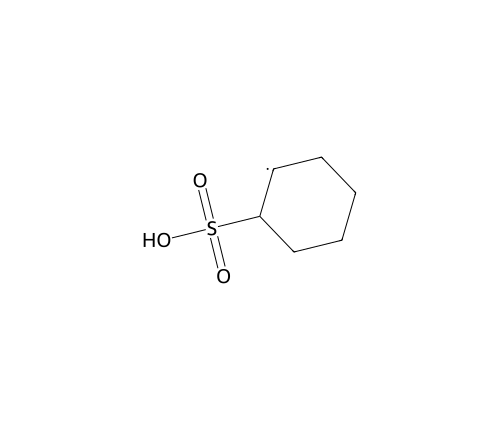 O=S(=O)(O)C1[CH]CCCC1